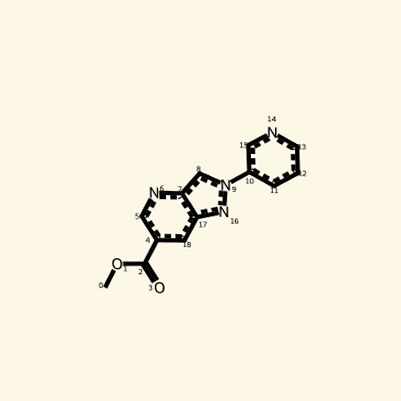 COC(=O)c1cnc2cn(-c3cccnc3)nc2c1